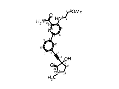 COCCNc1ccc(-c2cccc(C#C[C@]3(O)CCN(C)C3=O)c2)nc1C(N)=O